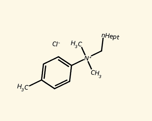 CCCCCCCC[N+](C)(C)c1ccc(C)cc1.[Cl-]